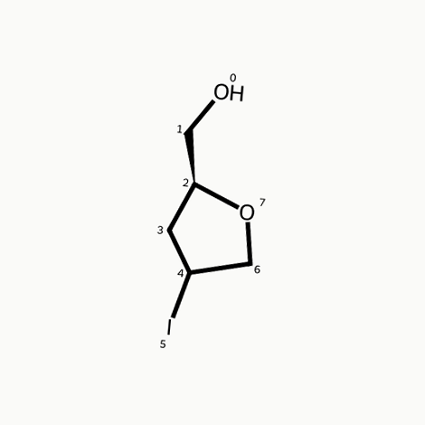 OC[C@@H]1CC(I)CO1